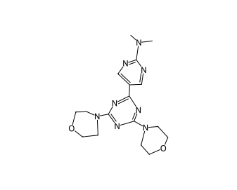 CN(C)c1ncc(-c2nc(N3CCOCC3)nc(N3CCOCC3)n2)cn1